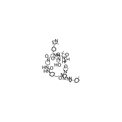 Cc1cccc(-c2ccn(-c3cc(N4CCOCC4)nc(OCCc4ccc(NC(=O)NC5CCN(C(=O)CC[C@H](NC(=O)[C@@H]6C[C@@H](O)CN6C(=O)[C@@H](NC(=O)C6(F)CC6)C(C)(C)C)c6ccc(-c7scnc7C)cc6)CC5)cc4)n3)n2)c1